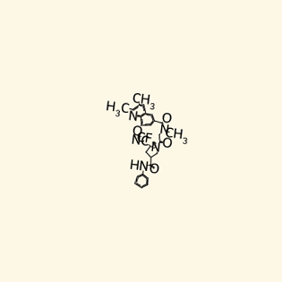 Cc1cc2cc(C(=O)N(C)CC(=O)N3CC(C(=O)Nc4ccccc4)CC3C#N)cc(OC(F)(F)F)c2nc1C